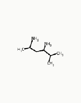 CC(N)CC(N)C(C)C